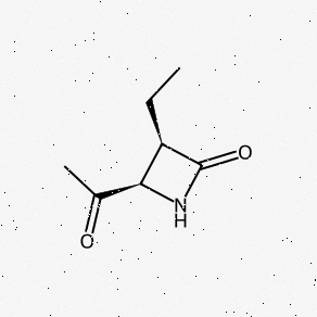 CC[C@H]1C(=O)N[C@H]1C(C)=O